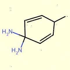 [CH2]C1C=CC(N)(N)C=C1